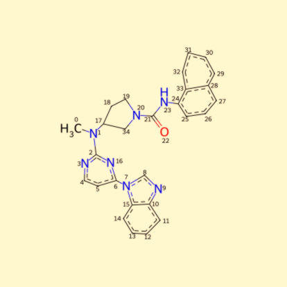 CN(c1nccc(-n2cnc3ccccc32)n1)C1CCN(C(=O)Nc2cccc3ccccc23)C1